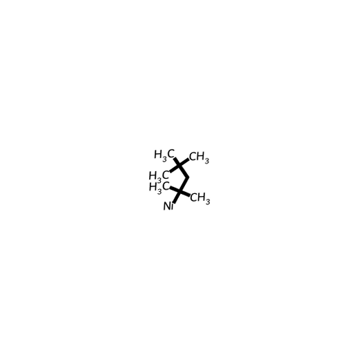 CC(C)(C)C[C](C)(C)[Ni]